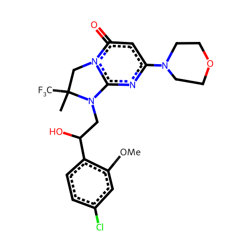 COc1cc(Cl)ccc1C(O)CN1c2nc(N3CCOCC3)cc(=O)n2CC1(C)C(F)(F)F